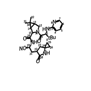 CC(C)(C)C(Nc1ccccn1)C(=O)N1CC2C(C1C(=O)NC(C#N)CC1CC3(CC3)NC1=O)C2(C)C